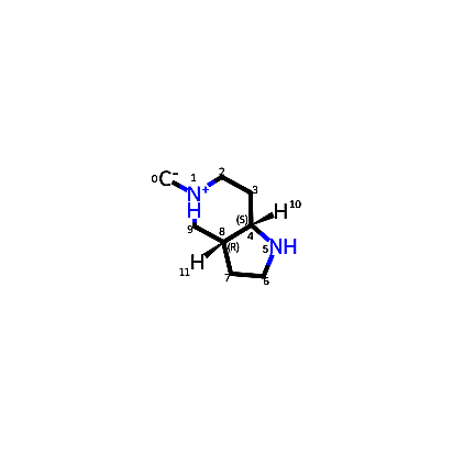 [CH2-][NH+]1CC[C@@H]2NCC[C@@H]2C1